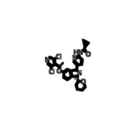 C[C@@H](Oc1ccc2c(c1)c(-c1ccc(NC(=O)C3CC3)nc1)nn2C1CCCCO1)c1c(Cl)cncc1Cl